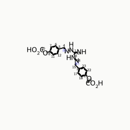 N=C(N/N=C/c1ccc(OC(=O)O)cc1)N/N=C/c1ccc(OC(=O)O)cc1